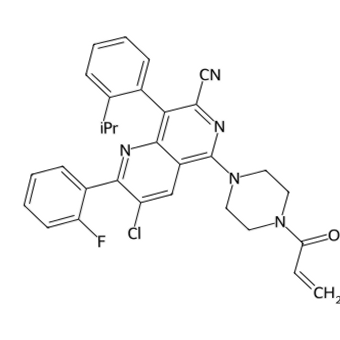 C=CC(=O)N1CCN(c2nc(C#N)c(-c3ccccc3C(C)C)c3nc(-c4ccccc4F)c(Cl)cc23)CC1